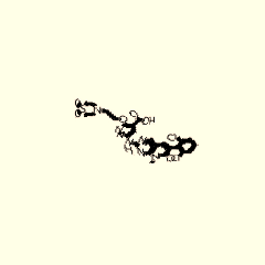 Cn1c(=O)c(-c2c(Cl)cccc2Cl)cc2cnc(Nc3cc(C(=O)O)c(OCCN4CCS(=O)(=O)CC4)nn3)nc21